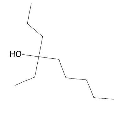 CCCCCC(O)(CC)CCC